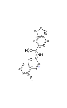 CC(NC(=O)/C=C\c1ccccc1F)c1ccc2c(c1)CCO2